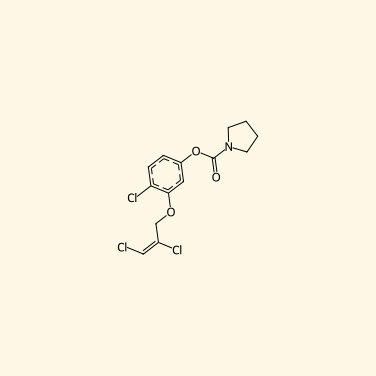 O=C(Oc1ccc(Cl)c(OC/C(Cl)=C\Cl)c1)N1CCCC1